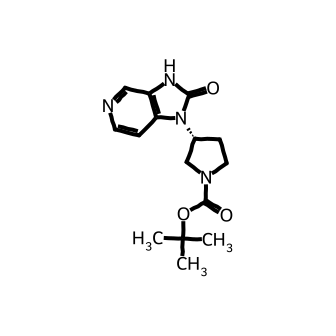 CC(C)(C)OC(=O)N1CC[C@@H](n2c(=O)[nH]c3cnccc32)C1